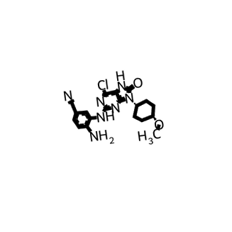 CO[C@H]1CC[C@H](n2c(=O)[nH]c3c(Cl)nc(Nc4cc(C#N)ccc4N)nc32)CC1